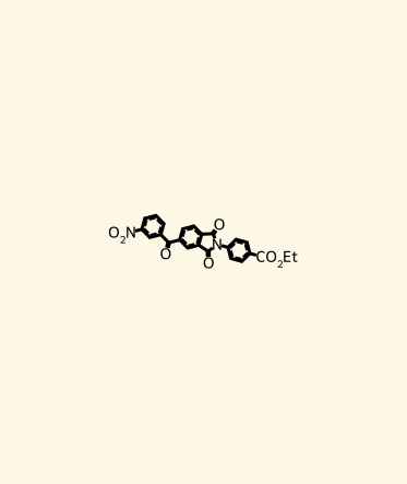 CCOC(=O)c1ccc(N2C(=O)c3ccc(C(=O)c4cccc([N+](=O)[O-])c4)cc3C2=O)cc1